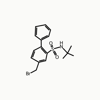 CC(C)(C)NS(=O)(=O)c1cc(CBr)ccc1-c1ccccc1